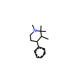 CC1C(c2ccccc2)CCN(C)C1(C)C